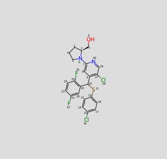 OC[C@@H]1CCCN1c1cc(C(Sc2ccc(Cl)cc2)c2cc(F)ccc2F)c(Cl)cn1